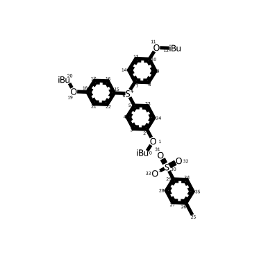 CCC(C)Oc1ccc([S+](c2ccc(OC(C)CC)cc2)c2ccc(OC(C)CC)cc2)cc1.Cc1ccc(S(=O)(=O)[O-])cc1